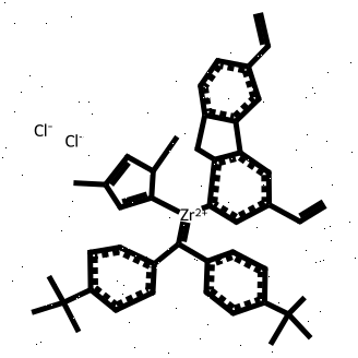 C=Cc1ccc2c(c1)-c1cc(C=C)c[c]([Zr+2]([C]3=CC(C)=CC3C)=[C](c3ccc(C(C)(C)C)cc3)c3ccc(C(C)(C)C)cc3)c1C2.[Cl-].[Cl-]